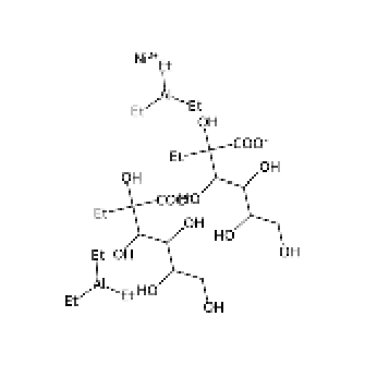 CCC(O)(C(=O)[O-])C(O)C(O)C(O)CO.CCC(O)(C(=O)[O-])C(O)C(O)C(O)CO.C[CH2][Al]([CH2]C)[CH2]C.C[CH2][Al]([CH2]C)[CH2]C.[Ni+2]